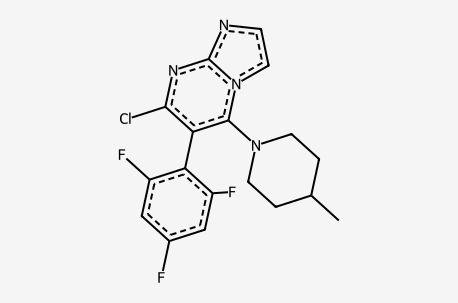 CC1CCN(c2c(-c3c(F)cc(F)cc3F)c(Cl)nc3nccn23)CC1